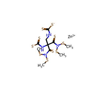 CSN(SC)C(=S)C(CNC(=S)[S-])(NC(=S)[S-])C(=S)N(SC)SC.[Zn+2]